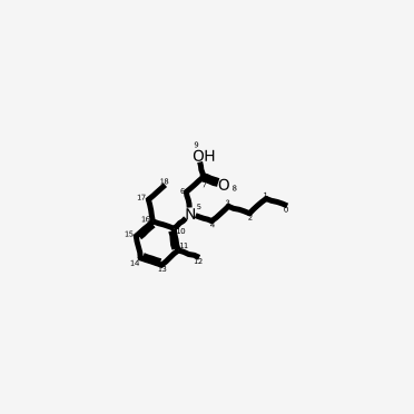 CCCCCN(CC(=O)O)c1c(C)cccc1CC